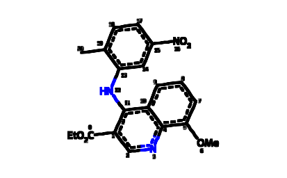 CCOC(=O)c1cnc2c(OC)cccc2c1Nc1cc([N+](=O)[O-])ccc1C